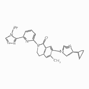 Cc1cc2c(cc1-n1cnc(C3CC3)c1)C(=O)N(c1cccc(-c3nncn3C(C)C)n1)CC2